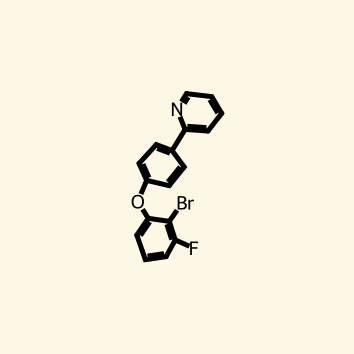 Fc1cccc(Oc2ccc(-c3ccccn3)cc2)c1Br